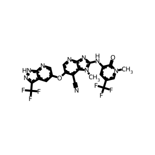 Cn1cc(C(F)(F)F)cc(Nc2nc3ncc(Oc4cnc5[nH]nc(C(F)(F)F)c5c4)c(C#N)c3n2C)c1=O